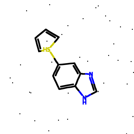 [c]1nc2cc([SH]3C=CC=C3)ccc2[nH]1